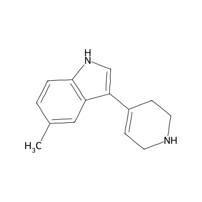 Cc1ccc2[nH]cc(C3=CCNCC3)c2c1